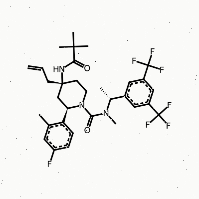 C=CC[C@@]1(NC(=O)C(C)(C)C)CCN(C(=O)N(C)[C@H](C)c2cc(C(F)(F)F)cc(C(F)(F)F)c2)[C@@H](c2ccc(F)cc2C)C1